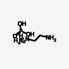 C.NCCN.O=[PH](O)O